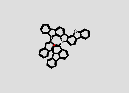 c1ccc2c(c1)-c1cccc3c(-n4c5ccc6c7ccccc7oc6c5c5ccc6c7ccccc7n(-c7ccc8ccccc8c7)c6c54)ccc-2c13